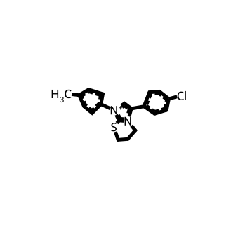 Cc1ccc(-[n+]2cc(-c3ccc(Cl)cc3)n3c2SCCC3)cc1